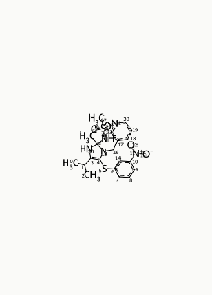 CC(C)C1=C(Sc2cccc([N+](=O)[O-])c2)N(Cc2cccnc2)C(C)(NS(C)(=O)=O)N1